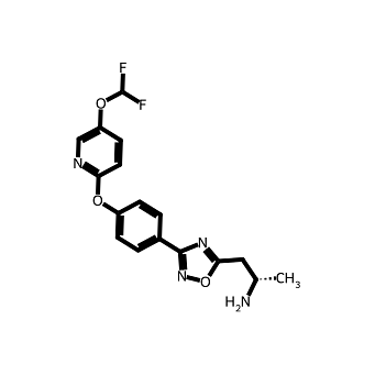 C[C@H](N)Cc1nc(-c2ccc(Oc3ccc(OC(F)F)cn3)cc2)no1